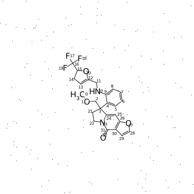 COCC1(c2ccccc2NCC2=CCC(C(F)(F)F)O2)CCn2c1cc1occc1c2=O